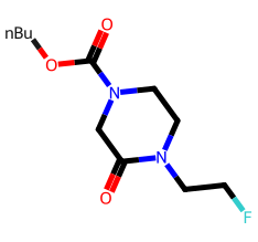 CCCCOC(=O)N1CCN(CCF)C(=O)C1